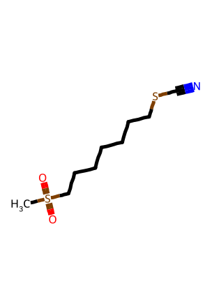 CS(=O)(=O)CCCCCCCSC#N